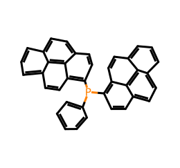 c1ccc(P(c2ccc3ccc4cccc5ccc2c3c45)c2ccc3ccc4cccc5ccc2c3c45)cc1